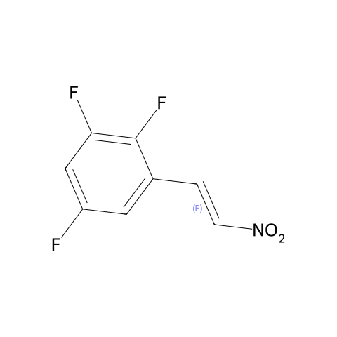 O=[N+]([O-])/C=C/c1cc(F)cc(F)c1F